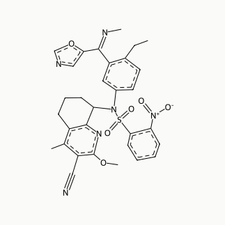 CCc1ccc(N(C2CCCc3c2nc(OC)c(C#N)c3C)S(=O)(=O)c2ccccc2[N+](=O)[O-])cc1/C(=N\C)c1cnco1